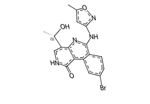 Cc1cc(Nc2nc3c([C@H](C)O)c[nH]c(=O)c3c3cc(Br)ccc23)no1